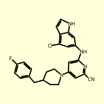 N#Cc1cc(N2CCC(Cc3ccc(F)cc3)CC2)cc(Nc2cc(Cl)c3cc[nH]c3c2)n1